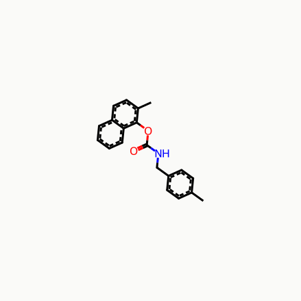 Cc1ccc(CNC(=O)Oc2c(C)ccc3ccccc23)cc1